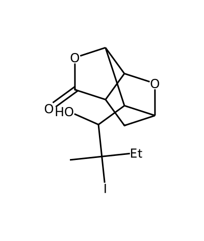 CCC(C)(I)C(O)C1C2CC3C(=O)OC1C3O2